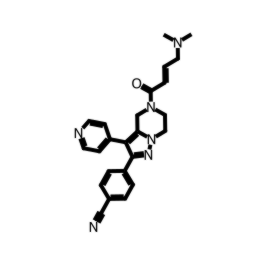 CN(C)C/C=C/C(=O)N1CCn2nc(-c3ccc(C#N)cc3)c(-c3ccncc3)c2C1